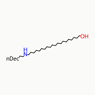 CCCCCCCCCCCCNCCCCCCCCCCCCCCCCCCCCO